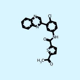 CC(=O)c1ccc(C(=O)Nc2ccc(Cl)c(-c3cnc4ccccc4n3)c2)s1